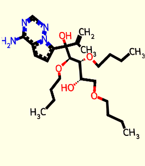 C=C(C)C(O)(c1ccc2c(N)ncnn12)[C@H](OCCCC)[C@H](OCCCC)[C@@H](O)COCCCC